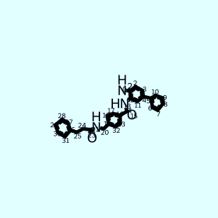 Nc1ccc(-c2ccccc2)cc1NC(=O)c1ccc(CNC(=O)CCc2ccccc2)cc1